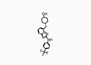 O[C@H]1CC[C@@H](Cc2cccc3nc(Nc4ccc(C(F)(F)F)cc4)nn23)CC1